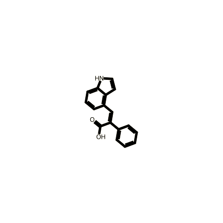 O=C(O)C(=Cc1cccc2[nH]ccc12)c1ccccc1